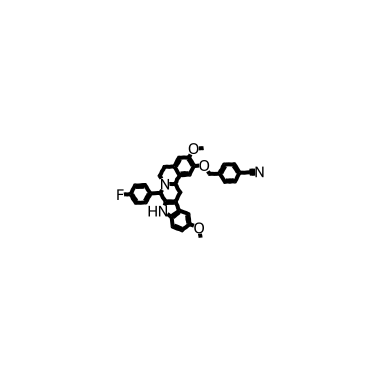 COc1ccc2[nH]c3c(c2c1)CC1c2cc(OCc4ccc(C#N)cc4)c(OC)cc2CCN1C3c1ccc(F)cc1